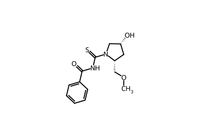 COC[C@H]1C[C@@H](O)CN1C(=S)NC(=O)c1ccccc1